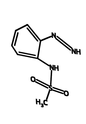 CS(=O)(=O)Nc1ccccc1N=N